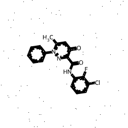 Cc1cc(=O)c(C(=O)Nc2cccc(Cl)c2F)nn1-c1ccccc1